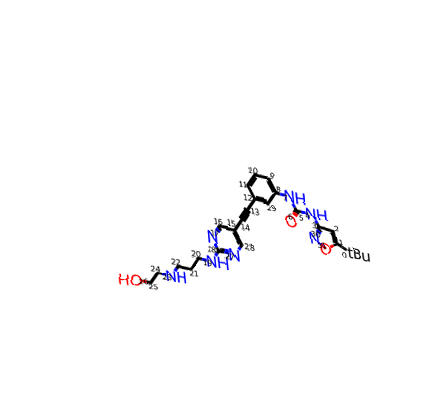 CC(C)(C)c1cc(NC(=O)Nc2cccc(C#Cc3cnc(NCCCNCCO)nc3)c2)no1